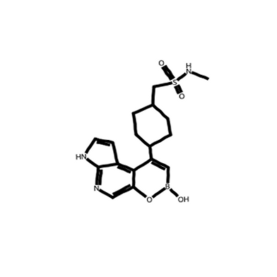 CNS(=O)(=O)CC1CCC(C2=CB(O)Oc3cnc4[nH]ccc4c32)CC1